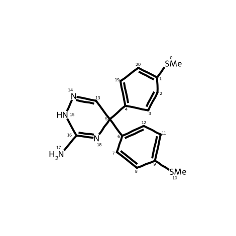 CSc1ccc(C2(c3ccc(SC)cc3)C=NNC(N)=N2)cc1